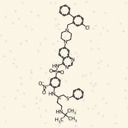 CC(C)(C)NCC[C@H](CSc1ccccc1)Nc1ccc(S(=O)(=O)Nc2ncnc3cc(N4CCN(Cc5cc(Cl)ccc5-c5ccccc5)CC4)ccc23)cc1[N+](=O)[O-]